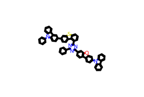 c1ccc(-c2nc(-c3ccc4c(c3)oc3cc(-n5c6ccccc6c6ccccc65)ccc34)nc(-c3cccc4sc5cc(-c6ccc7c(c6)c6ccccc6n7-c6ccccc6)ccc5c34)n2)cc1